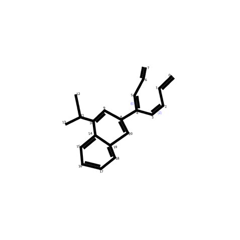 C=C/C=C\C(=C/C=C)c1cc(C(C)C)c2ccccc2c1